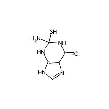 NC1(S)NC(=O)c2nc[nH]c2N1